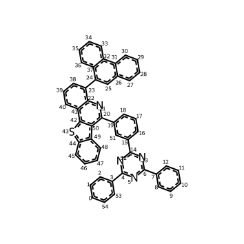 c1ccc(-c2nc(-c3ccccc3)nc(-c3cccc(-c4nc5c(-c6cc7ccccc7c7ccccc67)cccc5c5sc6ccccc6c45)c3)n2)cc1